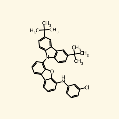 CC(C)(C)c1ccc2c(c1)c1cc(C(C)(C)C)ccc1n2-c1cccc2c1oc1c(Nc3cccc(Cl)c3)cccc12